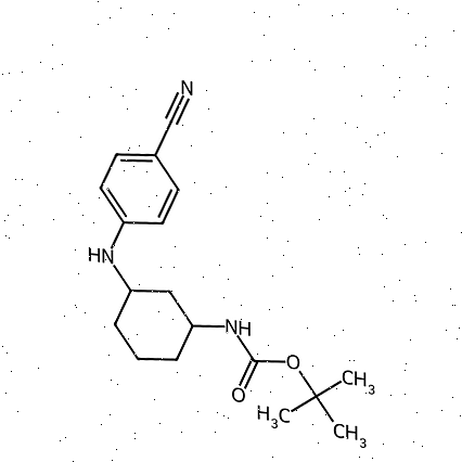 CC(C)(C)OC(=O)NC1CCCC(Nc2ccc(C#N)cc2)C1